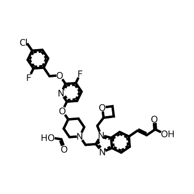 O=C(O)/C=C/c1ccc2nc(CN3CCC(Oc4ccc(F)c(OCc5ccc(Cl)cc5F)n4)CC3)n(CC3CCO3)c2c1.O=CO